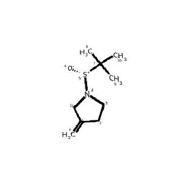 C=C1CCN([S@+]([O-])C(C)(C)C)C1